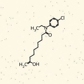 C=C(O)CCCCCCCC(=O)N(CC)c1ccc(Cl)cc1